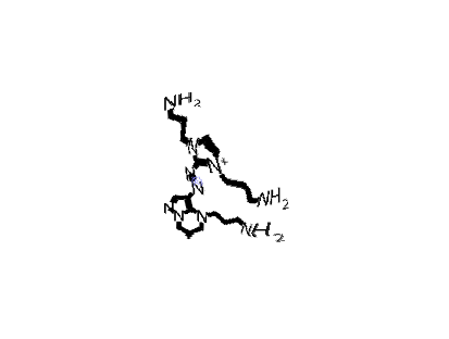 NCCCN1CCCn2ncc(/N=N/c3n(CCCN)cc[n+]3CCCN)c21